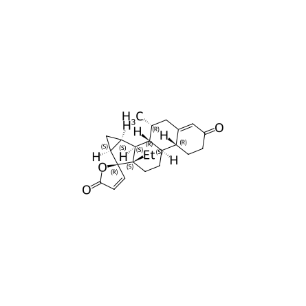 CC[C@]12CC[C@H]3[C@H]([C@@H]1[C@@H]1C[C@@H]1[C@@]21C=CC(=O)O1)[C@H](C)CC1=CC(=O)CC[C@@H]13